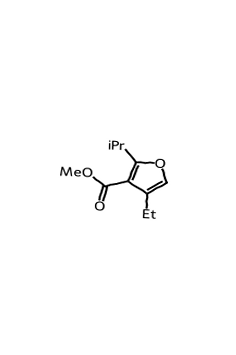 CCc1coc(C(C)C)c1C(=O)OC